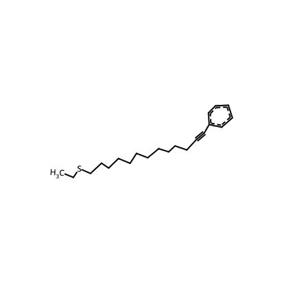 CCSCCCCCCCCCCCC#Cc1ccccc1